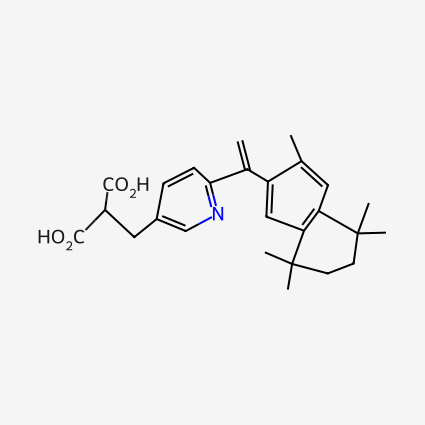 C=C(c1ccc(CC(C(=O)O)C(=O)O)cn1)c1cc2c(cc1C)C(C)(C)CCC2(C)C